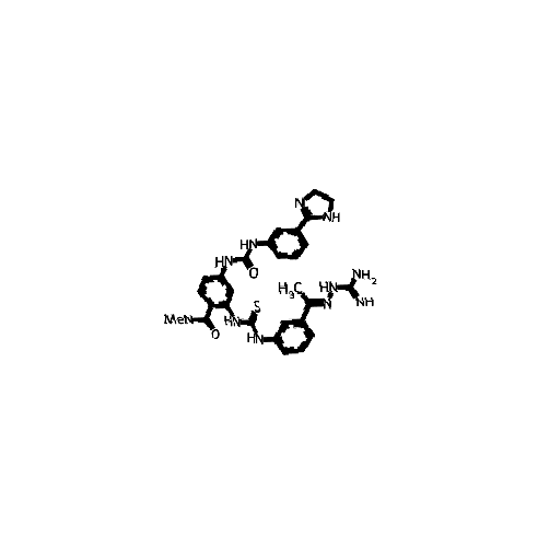 CNC(=O)c1ccc(NC(=O)Nc2cccc(C3=NCCN3)c2)cc1NC(=S)Nc1cccc(/C(C)=N/NC(=N)N)c1